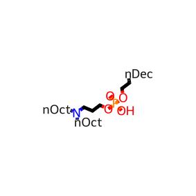 CCCCCCCCCCCCOP(=O)(O)OCCCN(CCCCCCCC)CCCCCCCC